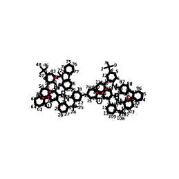 CC(C)(C)c1ccc(N2c3cc4c(oc5cc(-c6ccc7c(c6)C(C)(C)c6cccc8c6N7B6c7ccc9c(c7N(c7ccc(C(C)(C)C)cc7-c7ccccc7)c7cc%10c(oc%11ccccc%11%10)c-8c76)C(C)(C)c6ccccc6-9)ccc54)c4c3B(c3c2ccc2c3sc3ccccc32)N2c3ccccc3C(C)(C)c3cccc-4c32)c(-c2ccccc2)c1